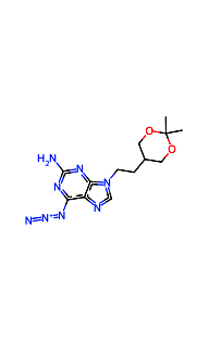 CC1(C)OCC(CCn2cnc3c(N=[N+]=[N-])nc(N)nc32)CO1